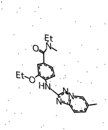 CCOc1cc(C(=O)N(C)CC)ccc1Nc1nc2ccc(C)cn2n1